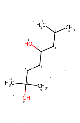 CC(C)CC(O)CCC(C)(C)O